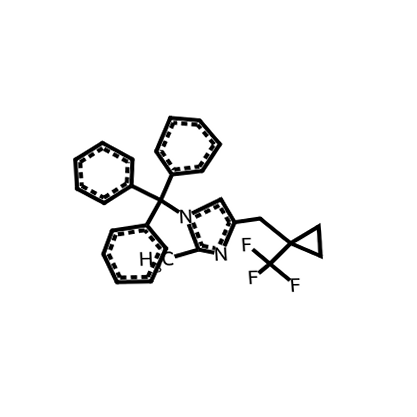 Cc1nc(CC2(C(F)(F)F)CC2)cn1C(c1ccccc1)(c1ccccc1)c1ccccc1